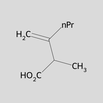 C=C(CCC)C(C)C(=O)O